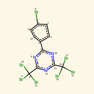 Brc1ccc(-c2nc(C(Br)(Br)Br)nc(C(Br)(Br)Br)n2)cc1